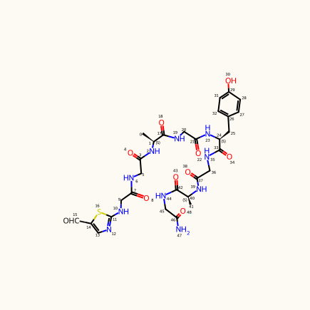 C[C@H](NC(=O)CNC(=O)CNc1ncc(C=O)s1)C(=O)NCC(=O)N[C@@H](Cc1ccc(O)cc1)C(=O)NCC(=O)N[C@@H](C)C(=O)NCC(N)=O